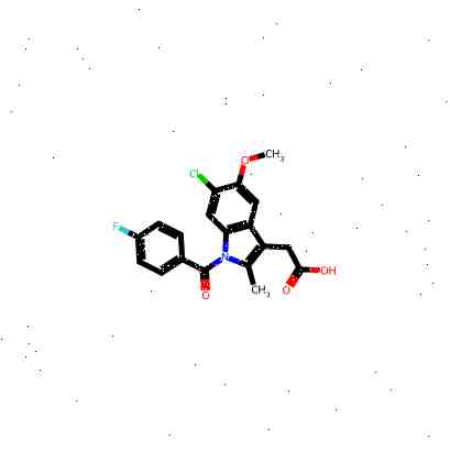 COc1cc2c(CC(=O)O)c(C)n(C(=O)c3ccc(F)cc3)c2cc1Cl